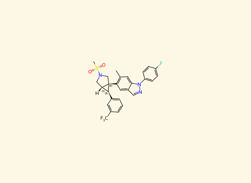 Cc1cc2c(cnn2-c2ccc(F)cc2)cc1[C@]12CN(S(C)(=O)=O)C[C@H]1[C@@H]2c1cccc(C(F)(F)F)c1